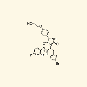 O=C(Nc1ccc(I)cc1F)C(Cc1ccc(Br)s1)N1C(=O)NC(c2ccc(OCCO)cc2)C1=O